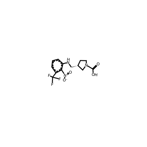 O=C(O)N1CC[C@@H](CNc2cccc(C(F)(F)F)c2[N+](=O)[O-])C1